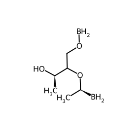 BOCC(O[C@@H](B)C)[C@@H](C)O